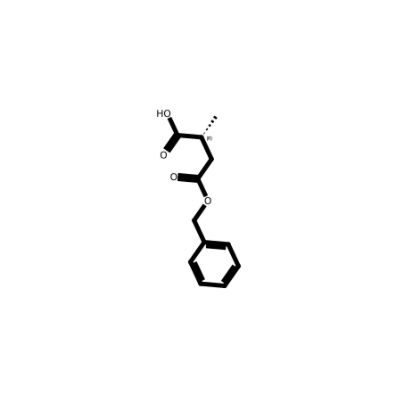 C[C@H](CC(=O)OCc1ccccc1)C(=O)O